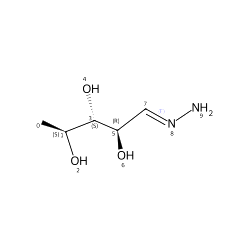 C[C@H](O)[C@H](O)[C@H](O)/C=N/N